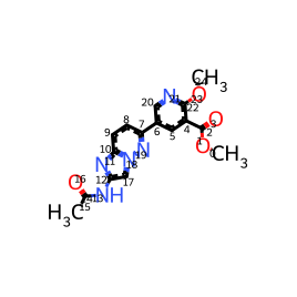 COC(=O)c1cc(-c2ccc3nc(NC(C)=O)cn3n2)cnc1OC